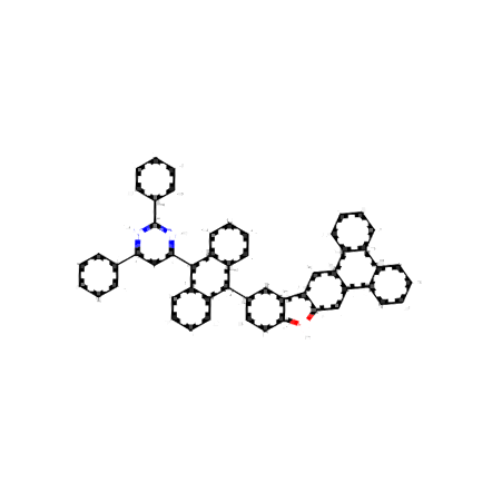 c1ccc(-c2cc(-c3c4ccccc4c(-c4ccc5oc6cc7c8ccccc8c8ccccc8c7cc6c5c4)c4ccccc34)nc(-c3ccccc3)n2)cc1